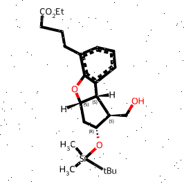 CCOC(=O)CCCc1cccc2c1O[C@H]1C[C@@H](O[Si](C)(C)C(C)(C)C)[C@H](CO)[C@@H]21